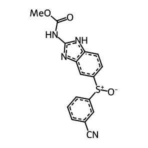 COC(=O)Nc1nc2cc([S+]([O-])c3cccc(C#N)c3)ccc2[nH]1